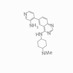 CNC1CCC(Nc2ncnc3ccc(-c4ccncc4N)cc23)CC1